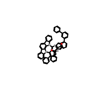 c1ccc(-c2cccc(-c3cccc(-c4nc(-c5ccccc5)nc(-n5c6ccccc6c6ccc7c8ccccc8n(-c8cc(-c9ccccc9)ccc8-c8ccccc8)c7c65)n4)c3)c2)cc1